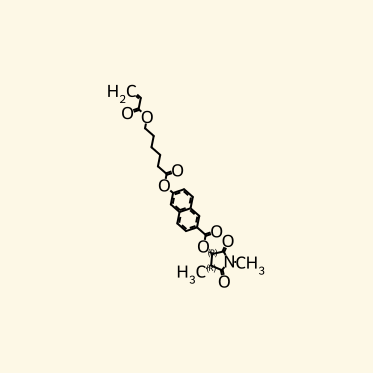 C=CC(=O)OCCCCCC(=O)Oc1ccc2cc(C(=O)O[C@H]3C(=O)N(C)C(=O)[C@@H]3C)ccc2c1